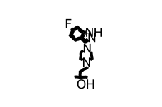 CC(C)(O)CCN1CCN(c2n[nH]c3cc(F)ccc23)CC1